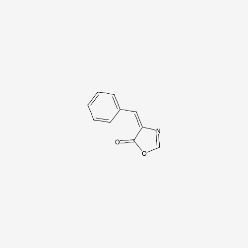 O=C1OC=NC1=Cc1ccccc1